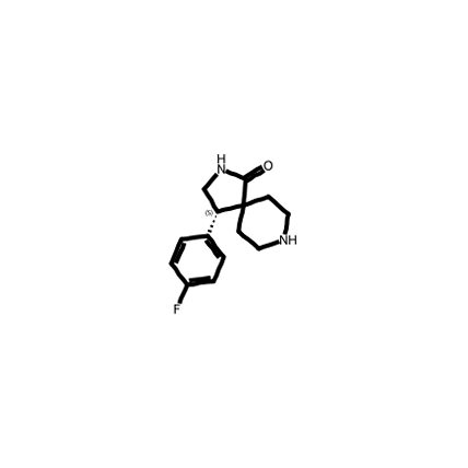 O=C1NC[C@@H](c2ccc(F)cc2)C12CCNCC2